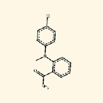 CN(c1ccc(Cl)cc1)c1ccccc1C(N)=O